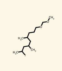 COCOCCCC(C)CC(C)CC(C)I